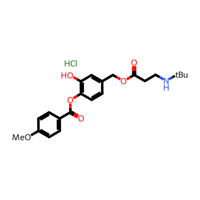 COc1ccc(C(=O)Oc2ccc(COC(=O)CCNC(C)(C)C)cc2O)cc1.Cl